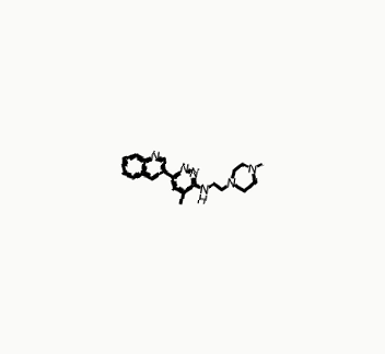 Cc1cc(-c2cnc3ccccc3c2)nnc1NCCN1CCN(C)CC1